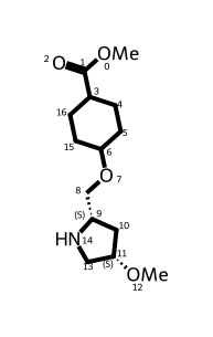 COC(=O)C1CCC(OC[C@@H]2C[C@H](OC)CN2)CC1